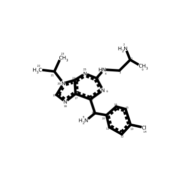 CC(N)CNc1nc(C(N)c2ccc(Cl)cc2)c2ncn(C(C)C)c2n1